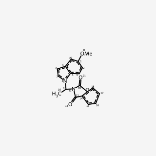 COc1ccc2c(ccn2C(C)N2C(=O)c3ccccc3C2=O)c1